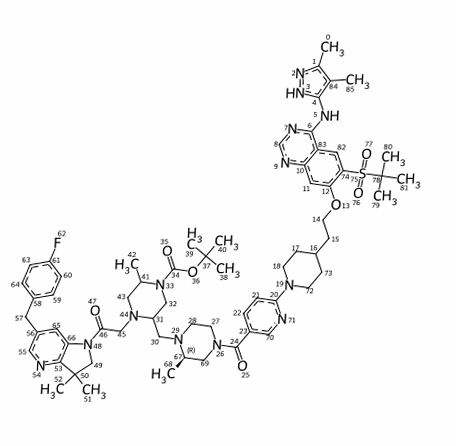 Cc1n[nH]c(Nc2ncnc3cc(OCCC4CCN(c5ccc(C(=O)N6CCN(CC7CN(C(=O)OC(C)(C)C)C(C)CN7CC(=O)N7CC(C)(C)c8ncc(Cc9ccc(F)cc9)cc87)[C@H](C)C6)cn5)CC4)c(S(=O)(=O)C(C)(C)C)cc23)c1C